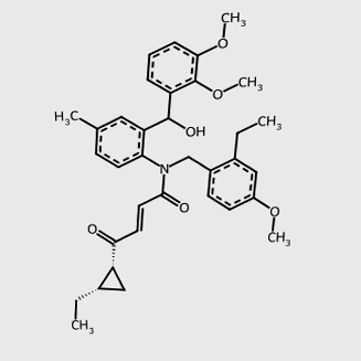 CCc1cc(OC)ccc1CN(C(=O)/C=C/C(=O)[C@@H]1C[C@@H]1CC)c1ccc(C)cc1C(O)c1cccc(OC)c1OC